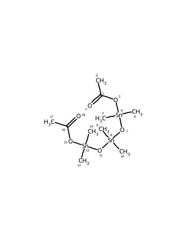 CC(=O)[O][Sn]([CH3])([CH3])[O][Sn]([CH3])([CH3])[O][Sn]([CH3])([CH3])[O]C(C)=O